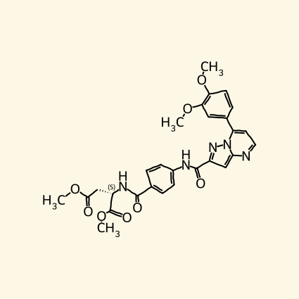 COC(=O)C[C@H](NC(=O)c1ccc(NC(=O)c2cc3nccc(-c4ccc(OC)c(OC)c4)n3n2)cc1)C(=O)OC